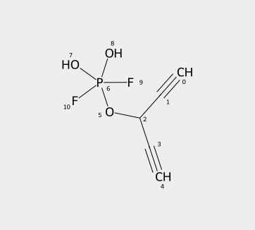 C#CC(C#C)OP(O)(O)(F)F